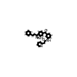 O=C(Cc1ccccn1)Nc1cccc(C(=O)c2ccc3c(/C=C/c4ccccc4)n[nH]c3c2)c1